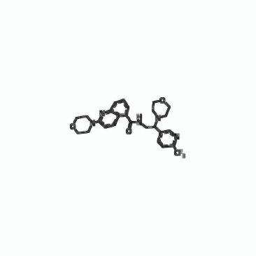 O=C(NCC(c1ccc(C(F)(F)F)nc1)N1CCOCC1)c1cccc2nc(N3CCOCC3)ccc12